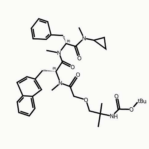 CN(C(=O)[C@@H](Cc1ccccc1)N(C)C(=O)[C@@H](Cc1ccc2ccccc2c1)N(C)C(=O)COCC(C)(C)NC(=O)OC(C)(C)C)C1CC1